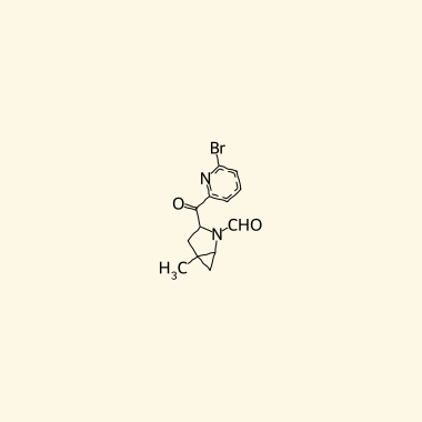 CC12CC(C(=O)c3cccc(Br)n3)N(C=O)C1C2